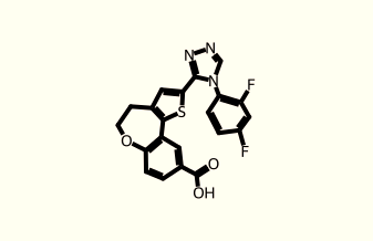 O=C(O)c1ccc2c(c1)-c1sc(-c3nncn3-c3ccc(F)cc3F)cc1CCO2